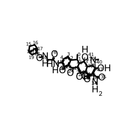 CC1c2ccc(NC(=O)CNOC3CC4CCC3CC4)c(O)c2C(=O)C2=C(O)C3(O)C(=O)C(C(N)=O)=C(O)[C@@H](N(C)C)C3C(O)C21